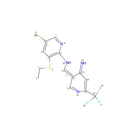 CCSc1cc(Br)cnc1N/C=C1/C=NC(C(F)(F)F)=CC1=N